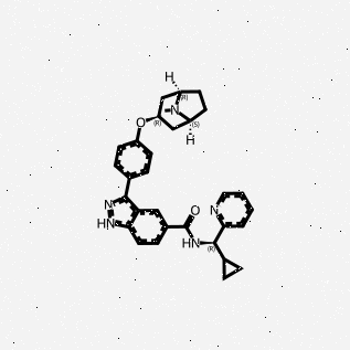 CN1[C@@H]2CC[C@H]1C[C@@H](Oc1ccc(-c3n[nH]c4ccc(C(=O)N[C@@H](c5ccccn5)C5CC5)cc34)cc1)C2